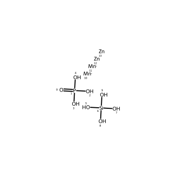 O=P(O)(O)O.O[Si](O)(O)O.[Mn].[Mn].[Zn].[Zn]